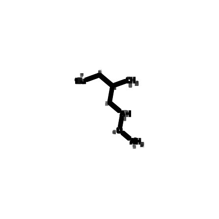 CC([CH2][AlH][O][AlH2])CC(C)(C)C